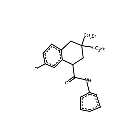 CCOC(=O)C1(C(=O)OCC)Cc2ccc(F)cc2C(C(=O)Nc2ccccc2)C1